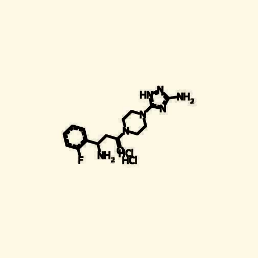 Cl.Cl.Nc1n[nH]c(N2CCN(C(=O)CC(N)c3ccccc3F)CC2)n1